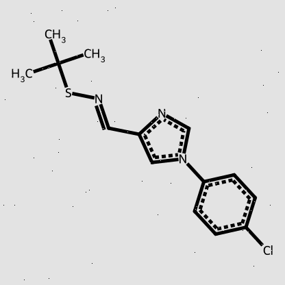 CC(C)(C)S/N=C/c1cn(-c2ccc(Cl)cc2)cn1